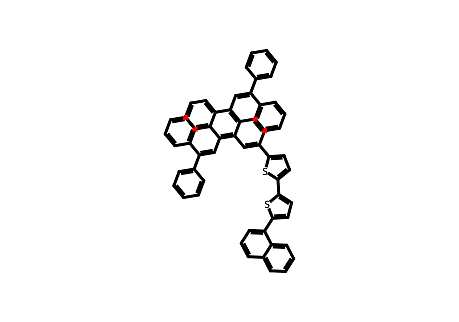 C(=C(c1ccccc1)c1ccccc1)c1c2ccccc2c(C=C(c2ccccc2)c2ccccc2)c2cc(-c3ccc(-c4ccc(-c5cccc6ccccc56)s4)s3)ccc12